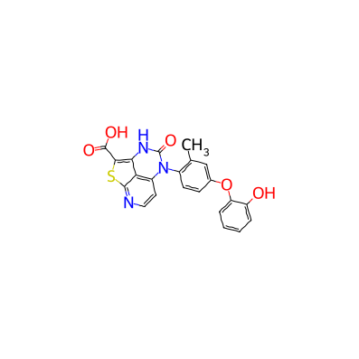 Cc1cc(Oc2ccccc2O)ccc1N1C(=O)Nc2c(C(=O)O)sc3nccc1c23